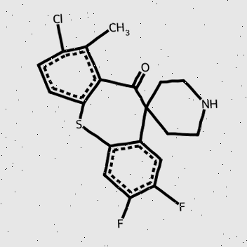 Cc1c(Cl)ccc2c1C(=O)C1(CCNCC1)c1cc(F)c(F)cc1S2